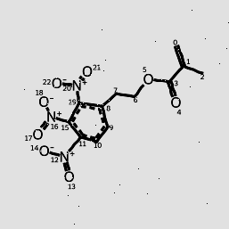 C=C(C)C(=O)OCCc1ccc([N+](=O)[O-])c([N+](=O)[O-])c1[N+](=O)[O-]